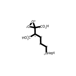 CCCCCCCCCCC(C(=O)O)C1(C(=O)O)OO1